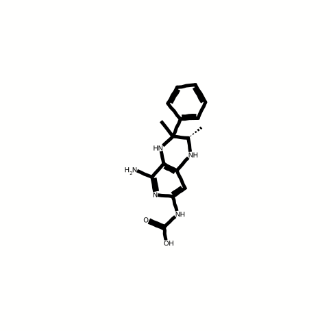 C[C@@H]1Nc2cc(NC(=O)O)nc(N)c2NC1(C)c1ccccc1